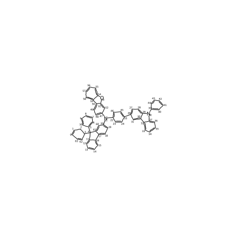 C1=CCC(C2(c3ccccc3)c3ccccc3-c3ccc(N(c4ccc(-c5ccc6c(c5)c5ccccc5n6-c5ccccc5)cc4)c4ccc5c(c4)oc4ccccc45)cc32)C=C1